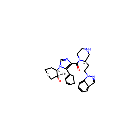 C[C@]1(O)CCCC[C@H]1n1cnc(C(=O)N2CCNC[C@H]2CCn2ncc3ccccc32)c1C1=CC=CCC1